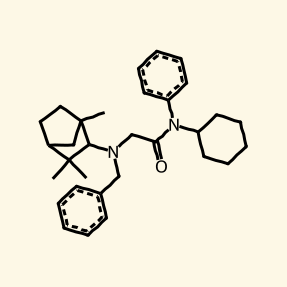 CC12CCC(C1)C(C)(C)C2N(CC(=O)N(c1ccccc1)C1CCCCC1)Cc1ccccc1